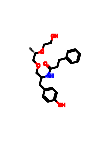 C[C@@H](COC[C@H](Cc1ccc(O)cc1)NC(=O)CCc1ccccc1)OCCO